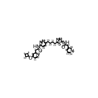 O=C(Cc1cc(OC2CCC2)ccn1)Nc1ccc(CCCCc2nnc(NC(=O)Cc3cccnc3)s2)nn1